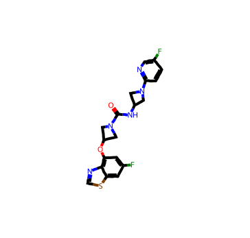 O=C(NC1CN(c2ccc(F)cn2)C1)N1CC(Oc2cc(F)cc3scnc23)C1